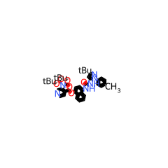 Cc1ccc(-n2nc(C(C)(C)C)cc2NC(=O)Nc2ccc(OCc3ccncc3N(C(=O)OC(C)(C)C)C(=O)OC(C)(C)C)c3ccccc23)cc1